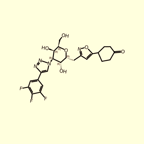 O=C1CCC(c2cc(C[C@H]3O[C@H](CO)[C@H](O)[C@H](n4cc(-c5cc(F)c(F)c(F)c5)nn4)[C@H]3O)no2)CC1